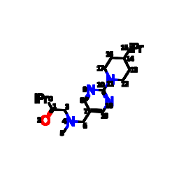 CC(C)C(=O)CN(C)Cc1cnc(N2CCC(C(C)C)CC2)nc1